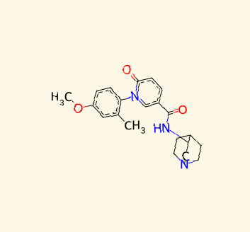 COc1ccc(-n2cc(C(=O)NC3CN4CCC3CC4)ccc2=O)c(C)c1